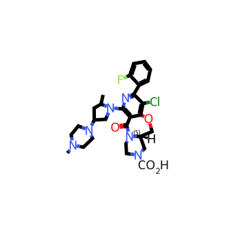 CC1CC(N2CCN(C)CC2)CN1c1nc(-c2ccccc2F)c(Cl)c2c1C(=O)N1CCN(C(=O)O)C[C@H]1CO2